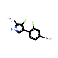 CCCCCCCCCc1ccc(-c2c[nH]c(C(=O)OCC)c2F)c(F)c1